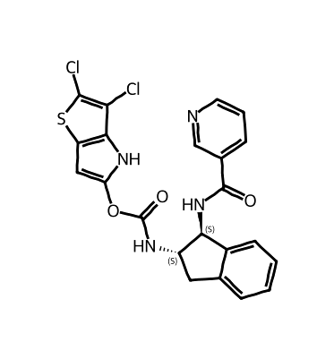 O=C(N[C@H]1Cc2ccccc2[C@@H]1NC(=O)c1cccnc1)Oc1cc2sc(Cl)c(Cl)c2[nH]1